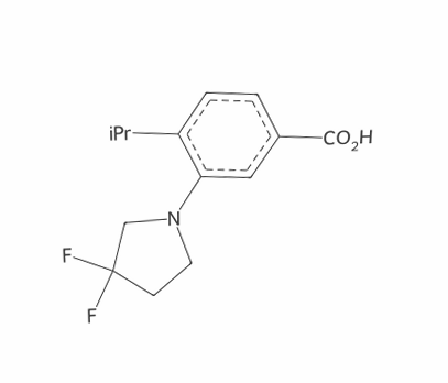 CC(C)c1ccc(C(=O)O)cc1N1CCC(F)(F)C1